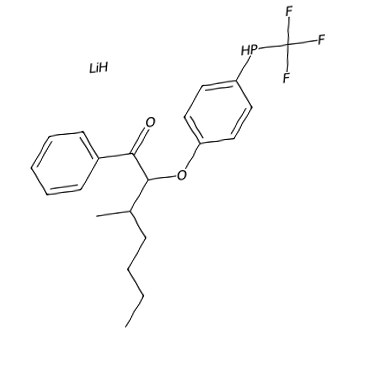 CCCCC(C)C(Oc1ccc(PC(F)(F)F)cc1)C(=O)c1ccccc1.[LiH]